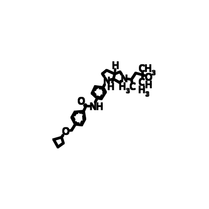 CC(CC(C)(C)O)N1C[C@H]2CCN(c3ccc(NC(=O)c4ccc(COC5CCC5)cc4)cc3)[C@H]2C1